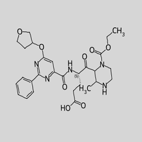 CCOC(=O)N1CCNC(C)C1C(=O)[C@H](CCC(=O)O)NC(=O)c1cc(OC2CCOC2)nc(-c2ccccc2)n1